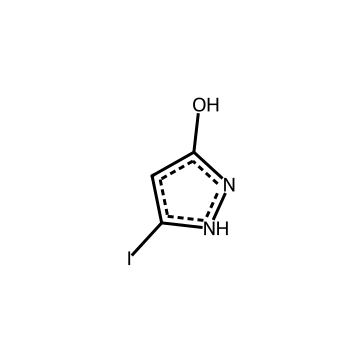 Oc1cc(I)[nH]n1